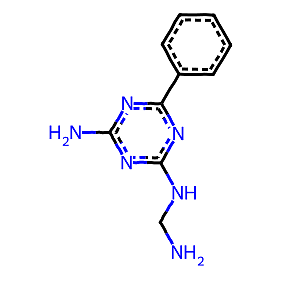 NCNc1nc(N)nc(-c2ccccc2)n1